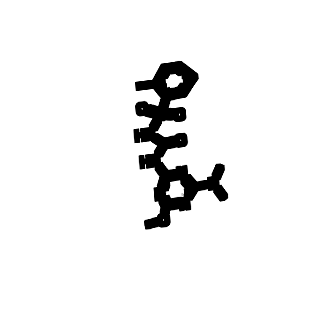 COc1nc(NC(=O)NS(=O)(=O)c2ccccc2C)nc(N(C)C)n1